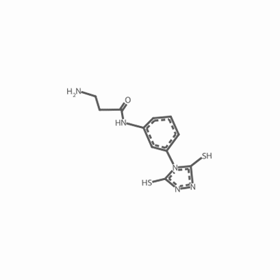 NCCC(=O)Nc1cccc(-n2c(S)nnc2S)c1